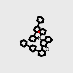 c1ccc(-c2ccc(-c3ccccc3N(c3ccccc3)c3cc4c(oc5cccc(-c6ccc(-c7ccccc7)cc6)c54)c4ccccc34)cc2)cc1